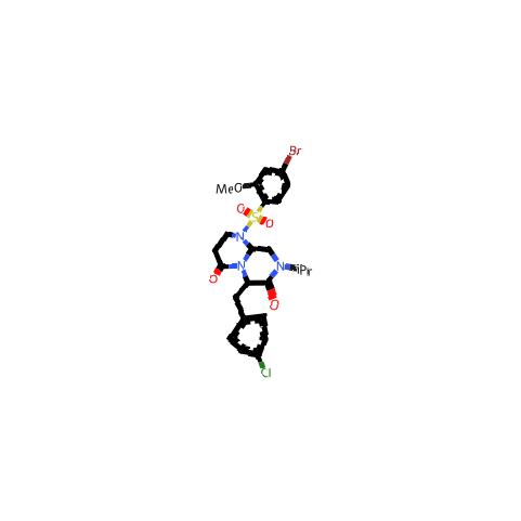 COc1cc(Br)ccc1S(=O)(=O)N1CCC(=O)N2C(Cc3ccc(Cl)cc3)C(=O)N(C(C)C)CC21